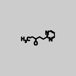 CCC(=O)CCc1ncccn1